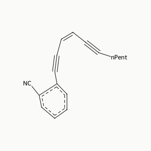 CCCCCC#C/C=C\C#Cc1ccccc1C#N